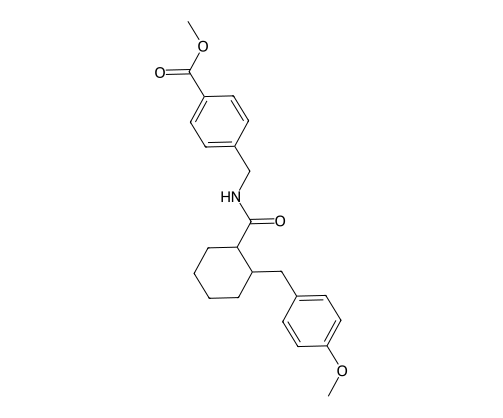 COC(=O)c1ccc(CNC(=O)C2CCCCC2Cc2ccc(OC)cc2)cc1